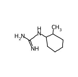 CC1CCCCC1NC(=N)N